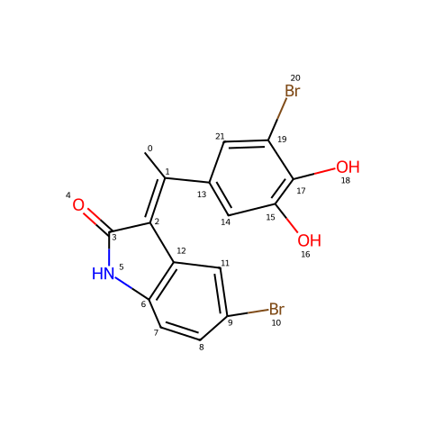 CC(=C1C(=O)Nc2ccc(Br)cc21)c1cc(O)c(O)c(Br)c1